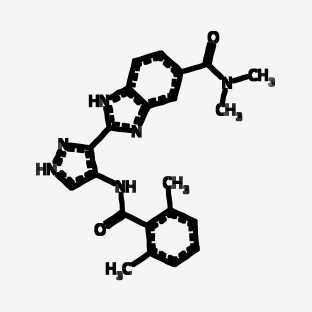 Cc1cccc(C)c1C(=O)Nc1c[nH]nc1-c1nc2cc(C(=O)N(C)C)ccc2[nH]1